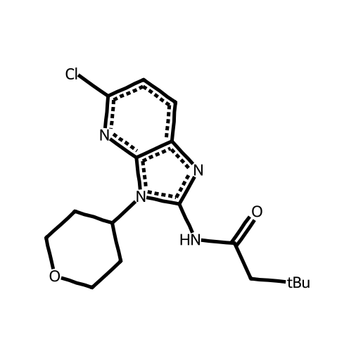 CC(C)(C)CC(=O)Nc1nc2ccc(Cl)nc2n1C1CCOCC1